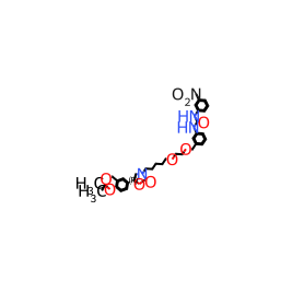 CC1(C)OCc2cc([C@@H]3CN(CCCCCOCCOCc4cccc(NC(=O)Nc5cccc([N+](=O)[O-])c5)c4)C(=O)O3)ccc2O1